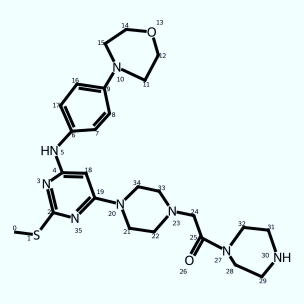 CSc1nc(Nc2ccc(N3CCOCC3)cc2)cc(N2CCN(CC(=O)N3CCNCC3)CC2)n1